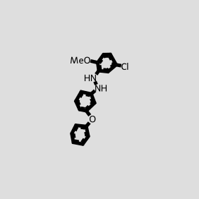 COc1ccc(Cl)cc1NNc1cccc(Oc2ccccc2)c1